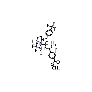 COC(=O)c1ccc(C(C)NC(=O)/C(C(=N)C(F)(F)F)=C2/NCCN2Cc2ccc(C(F)(F)F)cc2)c(F)c1